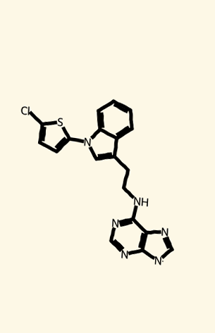 Clc1ccc(-n2cc(CCNc3ncnc4c3N=C[N]4)c3ccccc32)s1